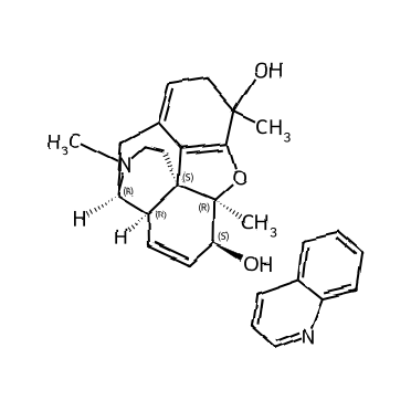 CN1CC[C@]23C4=C5O[C@@]2(C)[C@@H](O)C=C[C@H]3[C@H]1CC4=CCC5(C)O.c1ccc2ncccc2c1